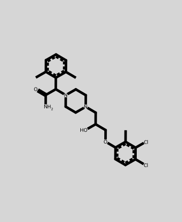 Cc1cccc(C)c1C(C(N)=O)N1CCN(CC(O)COc2ccc(Cl)c(Cl)c2C)CC1